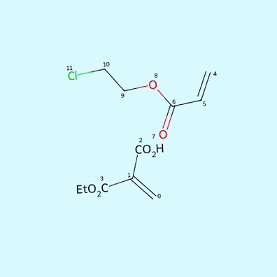 C=C(C(=O)O)C(=O)OCC.C=CC(=O)OCCCl